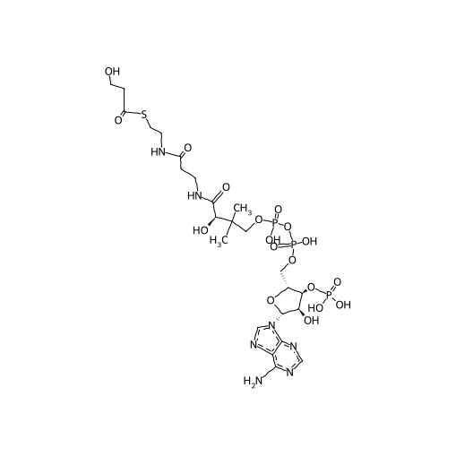 CC(C)(COP(=O)(O)OP(=O)(O)OC[C@H]1O[C@@H](n2cnc3c(N)ncnc32)[C@H](O)[C@@H]1OP(=O)(O)O)[C@@H](O)C(=O)NCCC(=O)NCCSC(=O)CCO